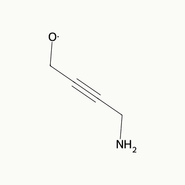 NCC#CC[O]